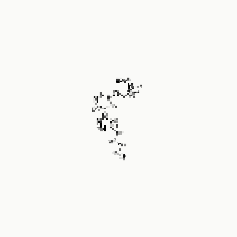 CC(C)N1CC[C@H]1COc1cncc(-n2cc(CCCCF)nn2)c1